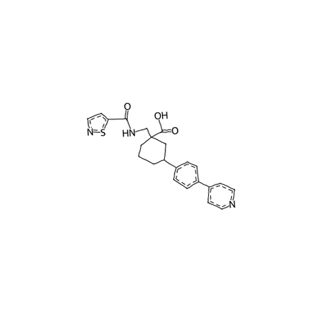 O=C(NCC1(C(=O)O)CCCC(c2ccc(-c3ccncc3)cc2)C1)c1ccns1